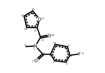 CN(C(=O)c1ccc(F)cc1)C(=O)c1ccco1